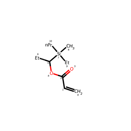 C=CC(=O)OC(CC)[Si](C)(CC)CCC